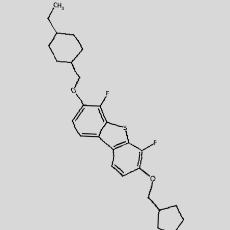 CCC1CCC(COc2ccc3c(sc4c(F)c(OCC5CCCC5)ccc43)c2F)CC1